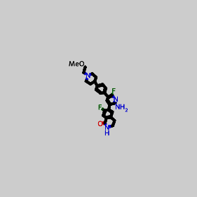 COCCN1CCC(c2ccc(-c3cc(-c4cc5c(cc4F)C(=O)NCC5)c(N)nc3F)cc2)CC1